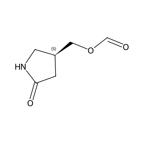 O=COC[C@@H]1CNC(=O)C1